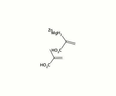 C=C(C)C(=O)O.C=C(C)C(=O)O.[MgH2].[Zn]